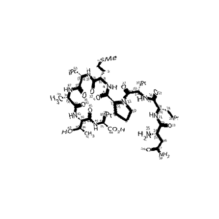 CSCC[C@H](NC(=O)[C@@H]1CCCN1C(=O)[C@@H](NC(=O)[C@H](CC(C)C)NC(=O)[C@@H](N)CC(N)=O)C(C)C)C(=O)N[C@H](C(=O)N[C@@H](C)C(=O)N[C@H](C(=O)N[C@H](C(=O)O)C(C)C)[C@@H](C)O)C(C)C